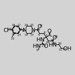 CNC(=O)NC(C=O)(CCC(=O)N1CCN(c2ccc(Cl)c(C)c2)CC1)CC(=O)NCCO